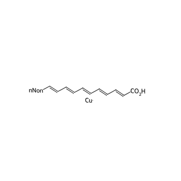 CCCCCCCCCC=CC=CC=CC=CC=CC(=O)O.[Cu]